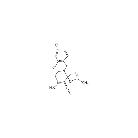 CCOC1(C)C(=C=O)N(C)CCN1Cc1ccc(Cl)cc1Cl